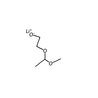 COC(C)OCC[O-].[Li+]